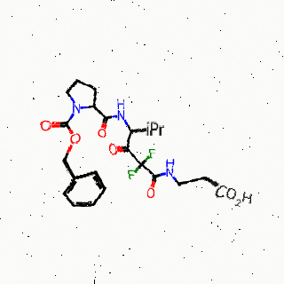 CC(C)C(NC(=O)C1CCCN1C(=O)OCc1ccccc1)C(=O)C(F)(F)C(=O)NCCC(=O)O